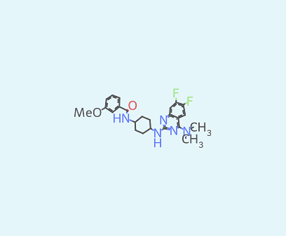 COc1cccc(C(=O)NC2CCC(Nc3nc(N(C)C)c4cc(F)c(F)cc4n3)CC2)c1